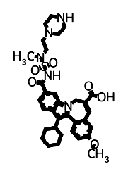 COc1ccc2c(c1)C=C(C(=O)O)Cn1c-2c(C2CCCCC2)c2ccc(C(=O)NS(=O)(=O)N(C)CCN3CCNCC3)cc21